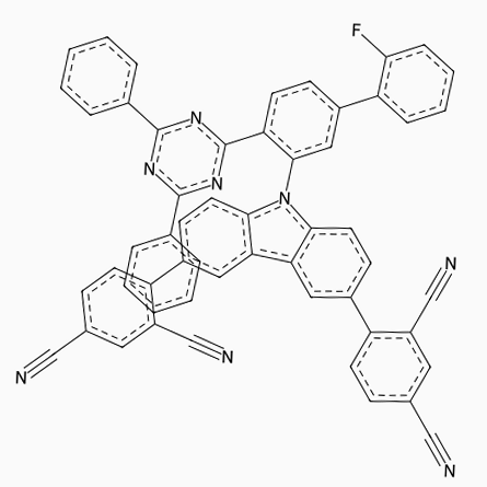 N#Cc1ccc(-c2ccc3c(c2)c2cc(-c4ccc(C#N)cc4C#N)ccc2n3-c2cc(-c3ccccc3F)ccc2-c2nc(-c3ccccc3)nc(-c3ccccc3)n2)c(C#N)c1